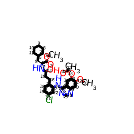 COC(=O)[C@H](CC1CCCCC1)NC(O)CCc1ccc(Cl)cc1Nc1ncnc2cc(OC)c(OC(C)=O)cc12